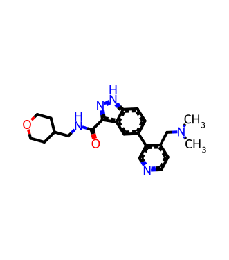 CN(C)Cc1ccncc1-c1ccc2[nH]nc(C(=O)NCC3CCOCC3)c2c1